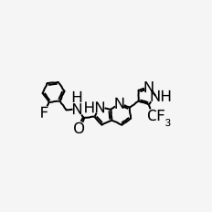 O=C(NCc1ccccc1F)c1cc2ccc(-c3cn[nH]c3C(F)(F)F)nc2[nH]1